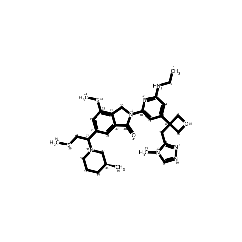 CCNc1cc(C2(Cc3nncn3C)COC2)cc(N2Cc3c(SC)cc(C(CSC)N4CCC[C@H](C)C4)cc3C2=O)n1